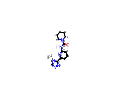 CC(C)n1cnnc1-c1cccc(NC(=O)N2CCCCC2)n1